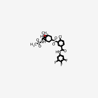 C[C@H]1CC2CC(S(=O)(=O)c3cc(C(=O)Nc4cc(F)c(F)c(F)c4)ccc3Cl)CC1[C@@]2(O)CNS(C)(=O)=O